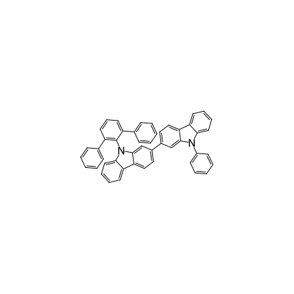 c1ccc(-c2cccc(-c3ccccc3)c2-n2c3ccccc3c3ccc(-c4ccc5c6ccccc6n(-c6ccccc6)c5c4)cc32)cc1